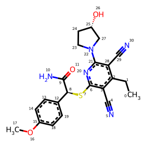 CCc1c(C#N)c(S[C@H](C(N)=O)c2ccc(OC)cc2)nc(N2CC[C@H](O)C2)c1C#N